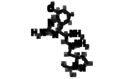 COc1cccc2c(/C(N)=C/N(N)Cc3ccnn3C(C)C)nc(N)nc12